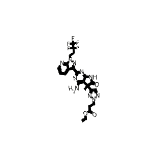 CCOC(=O)CCn1ncc(C2(C)C(=O)Nc3nc(-c4nn(CCC(F)(F)C(F)(F)F)c5ncccc45)nc(N)c32)n1